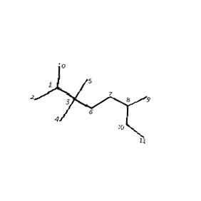 [CH2]C(C)C(C)(C)CCC(C)CC